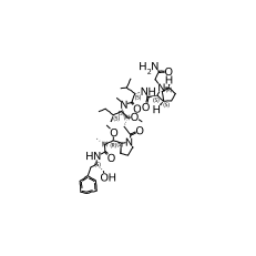 CC[C@H](C)[C@@H]([C@@H](CC(=O)N1CCC[C@H]1[C@H](OC)[C@@H](C)C(=O)N[C@H](CO)Cc1ccccc1)OC)N(C)C(=O)[C@@H](NC(=O)[C@@H]1[C@H]2CC[C@H](C2)N1CC(N)=O)C(C)C